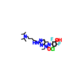 CCN1C(=O)N(c2c(Cl)cc(F)c(O)c2F)Cc2cnc(NCCCCCN(C(C)C)C(C)C)nc21